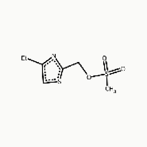 CCc1csc(COS(C)(=O)=O)n1